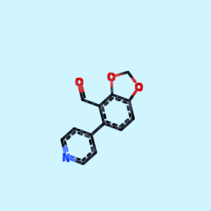 O=Cc1c(-c2ccncc2)ccc2c1OCO2